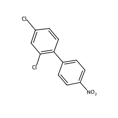 O=[N+]([O-])c1ccc(-c2ccc(Cl)cc2Cl)cc1